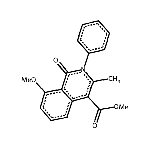 COC(=O)c1c(C)n(-c2ccccc2)c(=O)c2c(OC)cccc12